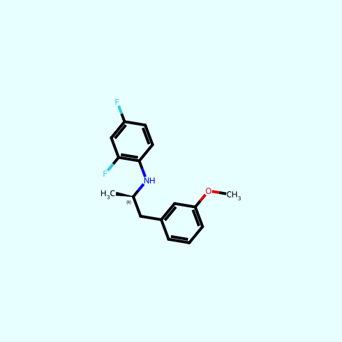 COc1cccc(C[C@@H](C)Nc2ccc(F)cc2F)c1